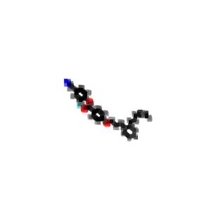 CCCCC1CCCCC1CCCOc1ccc(C(=O)Oc2ccc(C#N)cc2F)cc1